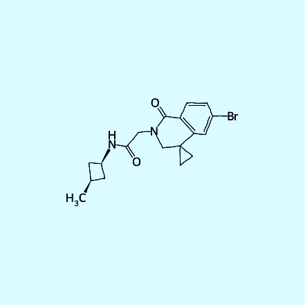 C[C@H]1C[C@@H](NC(=O)CN2CC3(CC3)c3cc(Br)ccc3C2=O)C1